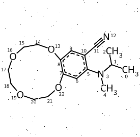 CC(C)N(C)c1cc2c(cc1C#N)OCCOCCOCCO2